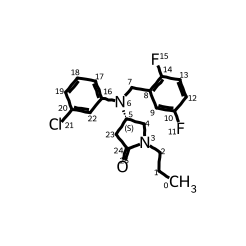 CCCN1C[C@@H](N(Cc2cc(F)ccc2F)c2cccc(Cl)c2)CC1=O